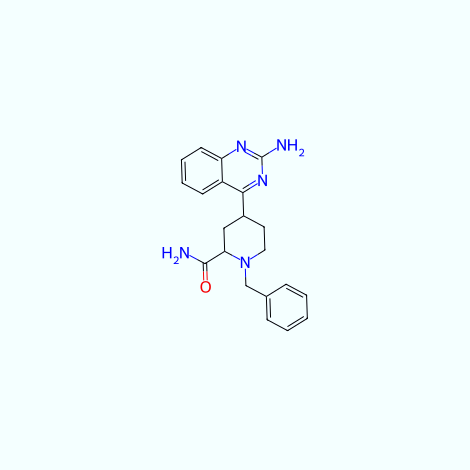 NC(=O)C1CC(c2nc(N)nc3ccccc23)CCN1Cc1ccccc1